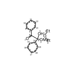 CCOCC.COC(O)(C(=O)c1ccccc1)c1ccccc1